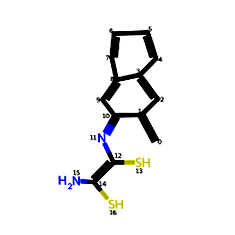 C=C1C=c2ccccc2=C/C1=N/C(S)=C(\N)S